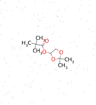 CC1(C)OCC(OC(=O)C(C)(C)C)O1